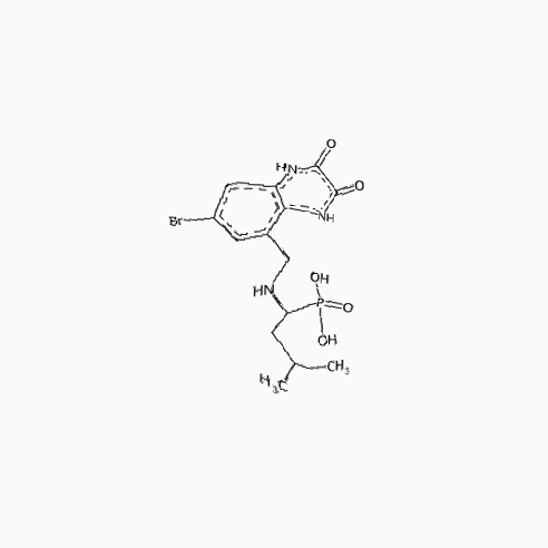 CC(C)CC(NCc1cc(Br)cc2[nH]c(=O)c(=O)[nH]c12)P(=O)(O)O